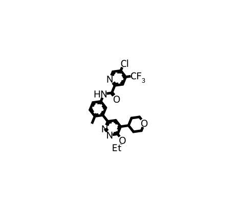 CCOc1nnc(-c2cc(NC(=O)c3cc(C(F)(F)F)c(Cl)cn3)ccc2C)cc1C1CCOCC1